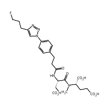 CN(C(=O)[C@H](CC(=O)O)NC(=O)CCc1ccc(-n2cc(CCCF)nn2)cc1)[C@@H](CCC(=O)O)C(=O)O